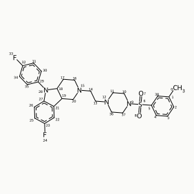 Cc1cccc(S(=O)(=O)N2CCN(CCN3CCC4C(C3)c3cc(F)ccc3N4c3ccc(F)cc3)CC2)c1